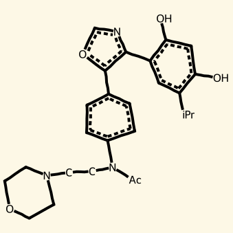 CC(=O)N(CCN1CCOCC1)c1ccc(-c2ocnc2-c2cc(C(C)C)c(O)cc2O)cc1